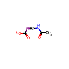 CC(=O)NB=PC(=O)O